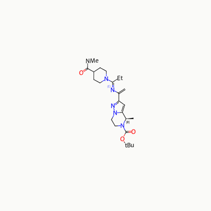 C=C(/N=C(\CC)N1CCC(C(=O)NC)CC1)c1cc2n(n1)CCN(C(=O)OC(C)(C)C)[C@@H]2C